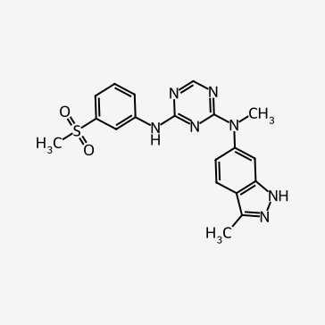 Cc1n[nH]c2cc(N(C)c3ncnc(Nc4cccc(S(C)(=O)=O)c4)n3)ccc12